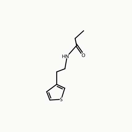 CCC(=O)NCCc1ccsc1